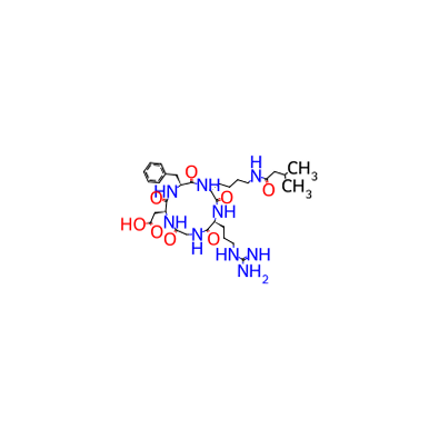 CC(C)CC(=O)NCCCC[C@H]1NC(=O)[C@H](Cc2ccccc2)NC(=O)[C@H](CC(=O)O)NC(=O)CNC(=O)[C@H](CCCNC(=N)N)NC1=O